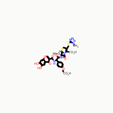 CO[C@@]1(NC(=O)C(NC(=O)c2coc3cc(O)c(O)cc3c2=O)c2ccc(OCC(=O)O)cc2)C(=O)N2C(C(=O)O)=C(CSc3nnnn3C)CS[C@H]21